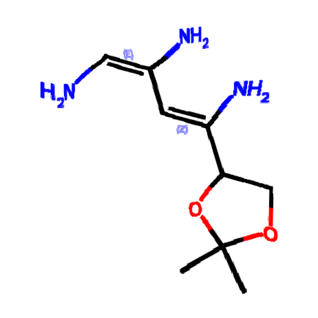 CC1(C)OCC(/C(N)=C/C(N)=C\N)O1